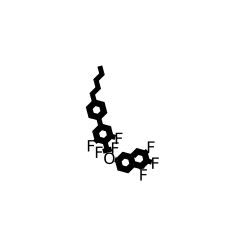 CCCCCc1ccc(-c2cc(F)c(C(F)(F)Oc3ccc4c(F)c(F)c(F)cc4c3)c(F)c2)cc1